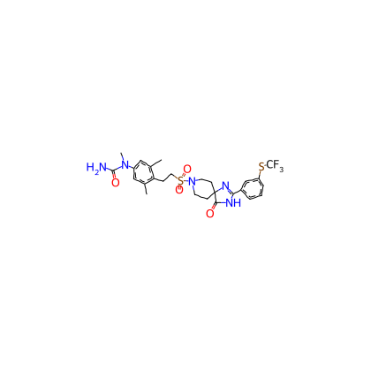 Cc1cc(N(C)C(N)=O)cc(C)c1CCS(=O)(=O)N1CCC2(CC1)N=C(c1cccc(SC(F)(F)F)c1)NC2=O